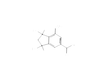 COc1cc(C(C)Br)cc2c1C(C)(C)CC2(C)C